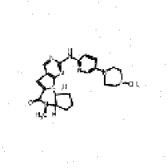 CN1CCN(c2ccc(Nc3ncc4cc5n(c4n3)[C@H]3CCC[C@@H]3N(C)C5=O)nc2)CC1